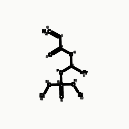 C=CC(=O)OC(CCC)OP(=O)(OCC)OCC